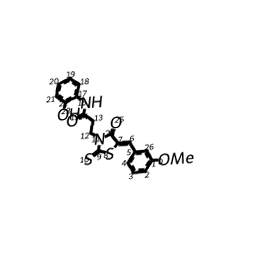 COc1cccc(/C=C2\SC(=S)N(CCC(=O)Nc3ccccc3O)C2=O)c1